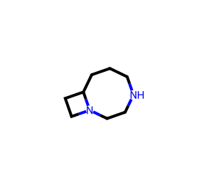 C1CNCCN2CCC2C1